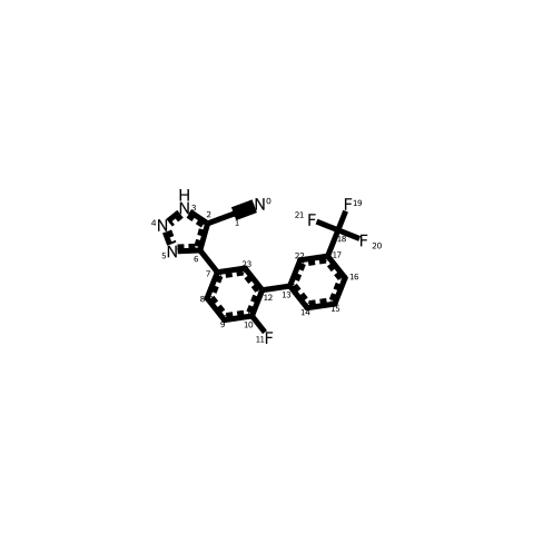 N#Cc1[nH]nnc1-c1ccc(F)c(-c2cccc(C(F)(F)F)c2)c1